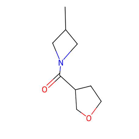 CC1CN(C(=O)C2CCOC2)C1